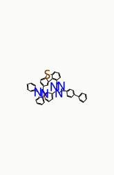 c1ccc(-c2ccc(-c3nc(-c4ccccc4)nc(-c4cccc5sc6ccc(-c7nc8ccccc8n7-c7ccccc7)cc6c45)n3)cc2)cc1